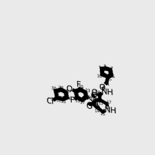 O=C(NOCc1ccccc1)C12CCC(CNC1)N2S(=O)(=O)c1cc(F)c(Oc2ccc(Cl)cc2)c(F)c1